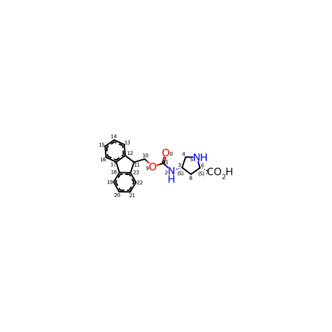 O=C(N[C@@H]1CN[C@H](C(=O)O)C1)OCC1c2ccccc2-c2ccccc21